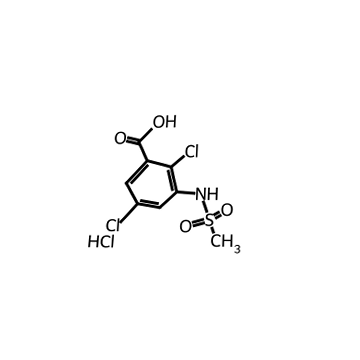 CS(=O)(=O)Nc1cc(Cl)cc(C(=O)O)c1Cl.Cl